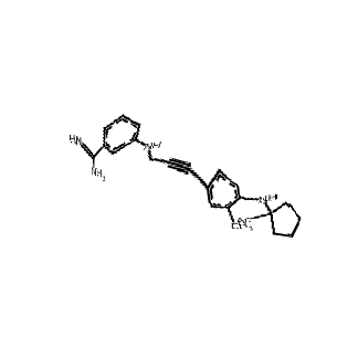 CC(=O)C1(Nc2ccc(C#CCNc3cccc(C(=N)N)c3)cc2C)CCCC1